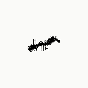 CC(C)CCC[C@@H](C)[C@H]1CCC2C3CC=C4C[C@@H](NC(=O)CCNC(=O)CCCCCNc5ccc([N+](=O)[O-])cc5[N+](=O)[O-])CC[C@]4(C)C3CC[C@@]21C